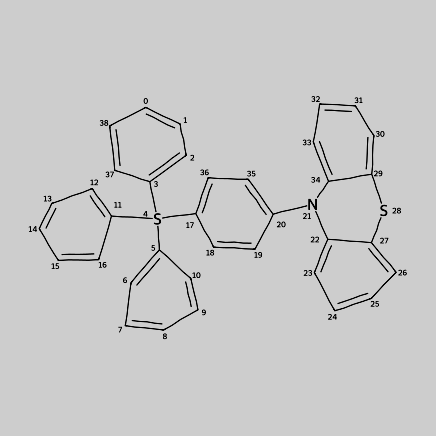 c1ccc(S(c2ccccc2)(c2ccccc2)c2ccc(N3c4ccccc4Sc4ccccc43)cc2)cc1